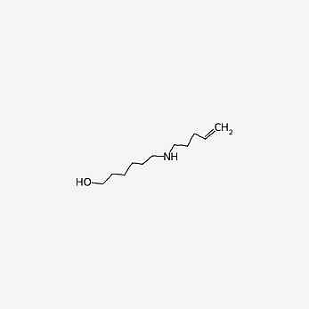 C=CCCCNCCCCCCO